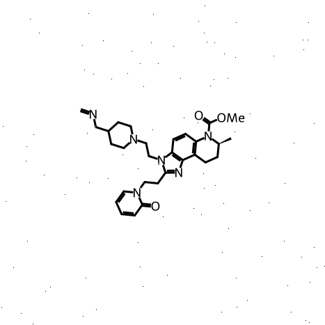 C=NCC1CCN(CCn2c(CCn3ccccc3=O)nc3c4c(ccc32)N(C(=O)OC)[C@@H](C)CC4)CC1